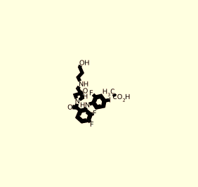 CC(=O)O.O=C(c1ccc(F)c(F)c1Nc1ccc(I)cc1F)N1CC(O)(CNCCCO)C1